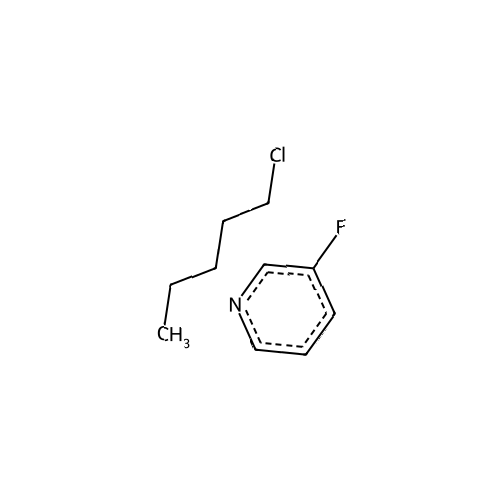 CCCCCCl.Fc1cccnc1